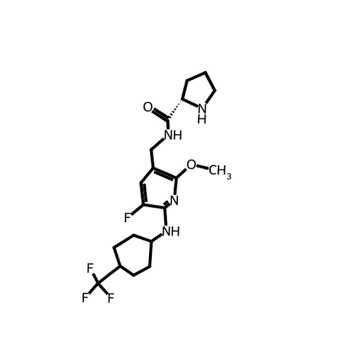 COc1nc(NC2CCC(C(F)(F)F)CC2)c(F)cc1CNC(=O)[C@@H]1CCCN1